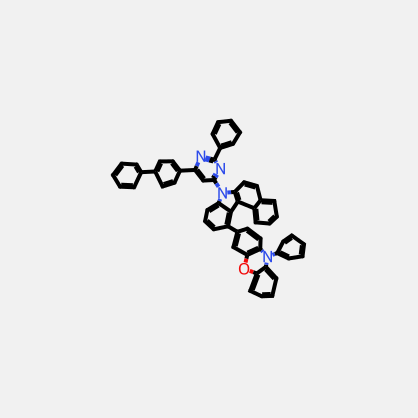 c1ccc(-c2ccc(-c3cc(-n4c5cccc(-c6ccc7c(c6)Oc6ccccc6N7c6ccccc6)c5c5c6ccccc6ccc54)nc(-c4ccccc4)n3)cc2)cc1